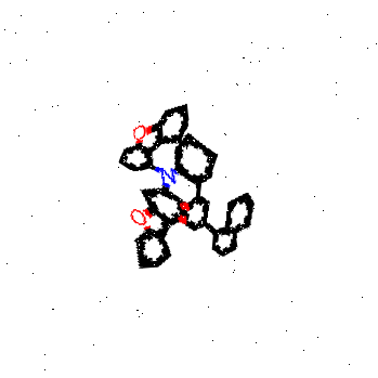 c1cc(-c2ccccc2N(c2ccc3c(c2)oc2ccccc23)c2cccc3oc4ccccc4c23)cc(-c2cccc3ccccc23)c1